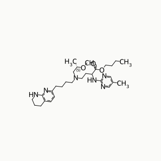 CCCCOC(=O)C(CCN(CCCCc1ccc2c(n1)NCCC2)C[C@H](C)OC)Nc1ncc(C)cn1